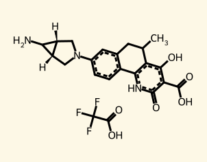 CC1Cc2cc(N3C[C@@H]4C(N)[C@@H]4C3)ccc2-c2[nH]c(=O)c(C(=O)O)c(O)c21.O=C(O)C(F)(F)F